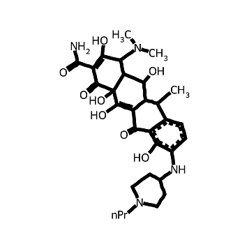 CCCN1CCC(Nc2ccc3c(c2O)C(=O)C2=C(O)C4(O)C(=O)C(C(N)=O)=C(O)C(N(C)C)C4C(O)C2C3C)CC1